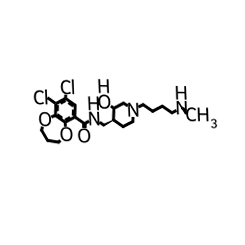 CNCCCCN1CC[C@@H](CNC(=O)c2cc(Cl)c(Cl)c3c2OCCCO3)C(O)C1